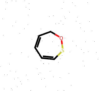 [C]1=CC=CSOC1